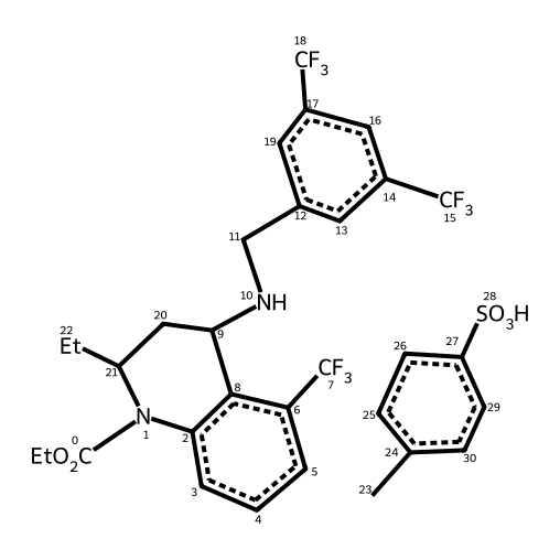 CCOC(=O)N1c2cccc(C(F)(F)F)c2C(NCc2cc(C(F)(F)F)cc(C(F)(F)F)c2)CC1CC.Cc1ccc(S(=O)(=O)O)cc1